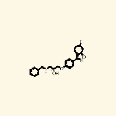 O[C@@H](CNCc1ccccc1)COc1ccc(-c2noc3cc(F)ccc23)cc1